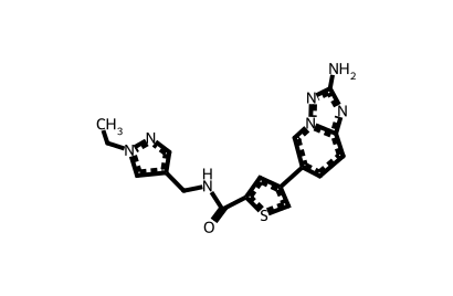 CCn1cc(CNC(=O)c2cc(-c3ccc4nc(N)nn4c3)cs2)cn1